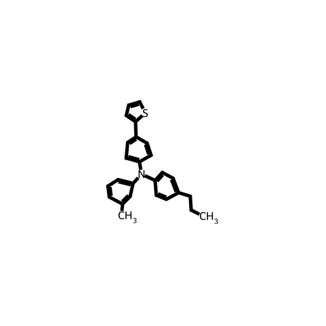 CCCc1ccc(N(c2ccc(-c3cccs3)cc2)c2cccc(C)c2)cc1